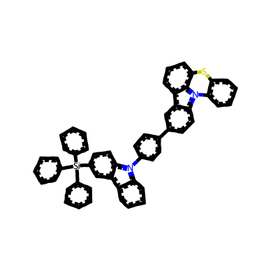 c1ccc([Si](c2ccccc2)(c2ccccc2)c2ccc3c(c2)c2ccccc2n3-c2ccc(-c3ccc4c(c3)c3cccc5c3n4-c3ccccc3S5)cc2)cc1